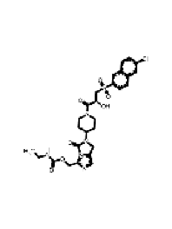 CCNC(=O)OCc1ncc2n1C(=O)N(C1CCN(C(=O)[C@H](O)CS(=O)(=O)c3ccc4cc(Cl)ccc4c3)CC1)C2